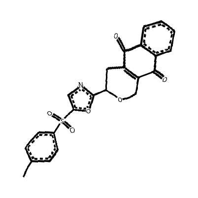 Cc1ccc(S(=O)(=O)c2cnc(C3CC4=C(CO3)C(=O)c3ccccc3C4=O)o2)cc1